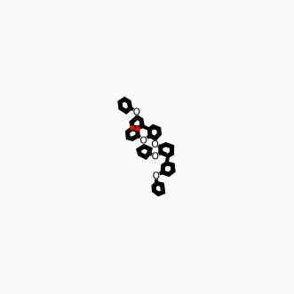 c1ccc(Oc2cccc(-c3cccc(Oc4cccc(-c5cccc(Oc6ccccc6)c5)c4Oc4ccccc4)c3Oc3ccccc3)c2)cc1